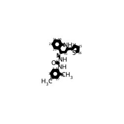 Cc1ccc(NC(=O)NN=C2CC(c3cccs3)Nc3ccccc32)c(C)c1